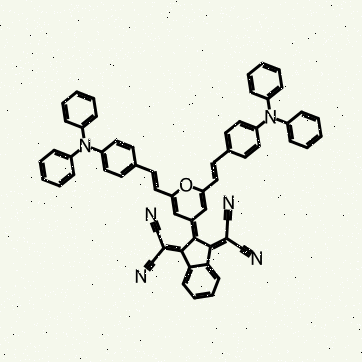 N#CC(C#N)=C1C(=C2C=C(/C=C/c3ccc(N(c4ccccc4)c4ccccc4)cc3)OC(/C=C/c3ccc(N(c4ccccc4)c4ccccc4)cc3)=C2)C(=C(C#N)C#N)c2ccccc21